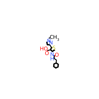 CCn1ccc(-c2scc(NC(=O)CCc3ccccc3)c2C(=O)O)n1